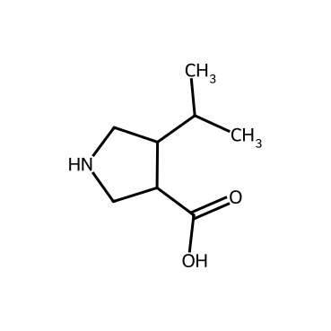 CC(C)C1CNCC1C(=O)O